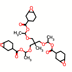 CC(OCC(C)(COC(C)OC(=O)C1CCC2OC2C1)COC(C)OC(=O)C1CCC2OC2C1)OC(=O)C1CCC2OC2C1